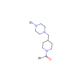 CCN1CCN(CC2CCN(C(=O)C(C)C)CC2)CC1